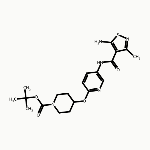 Cc1nsc(N)c1C(=O)Nc1ccc(OC2CCN(C(=O)OC(C)(C)C)CC2)nc1